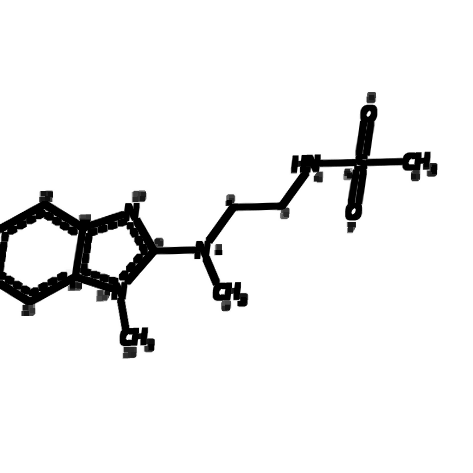 CN(CCNS(C)(=O)=O)c1nc2ccccc2n1C